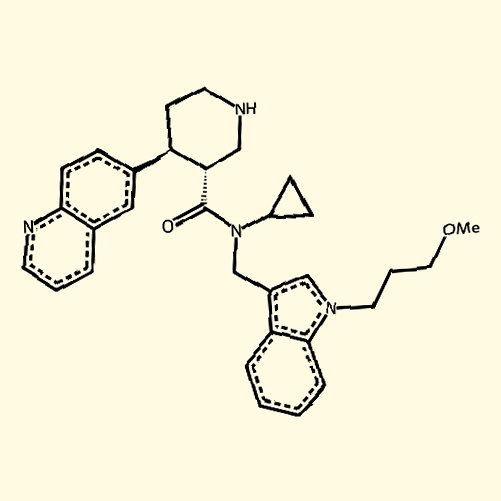 COCCCn1cc(CN(C(=O)[C@H]2CNCC[C@@H]2c2ccc3ncccc3c2)C2CC2)c2ccccc21